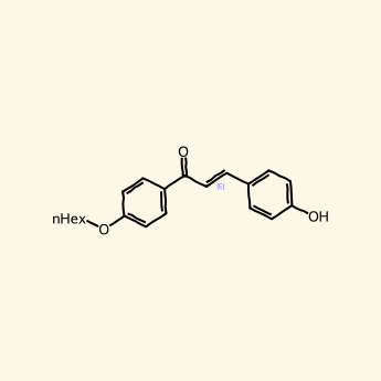 CCCCCCOc1ccc(C(=O)/C=C/c2ccc(O)cc2)cc1